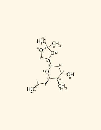 C=CC[C@H]1O[C@@H](C2COC(C)(C)O2)C[C@H](O)[C@H]1C